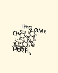 COc1cc2c(cc1OC(C)C)[C@H](c1ccc(Cl)cc1)N(c1ccc(C(C)(O)C34CCC(CC3)C4)cc1)C(=O)C2